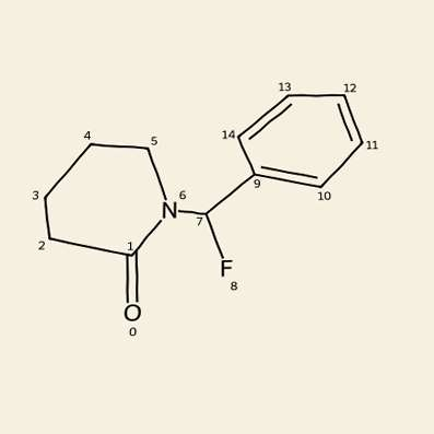 O=C1CCCCN1C(F)c1ccccc1